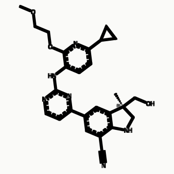 COCCOc1nc(C2CC2)ccc1Nc1nccc(-c2cc(C#N)c3c(c2)[C@@](C)(CO)CN3)n1